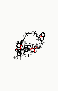 C[C@H](CSC1CC(=O)N(c2ccc(-c3c4cc(F)c(=O)cc-4oc4cc(O)c(F)cc34)c(C(=O)O)c2)C1=O)NC(=O)[C@H](Cc1ccccc1)NC(=O)CCC(C)(C)OCCC(C)(C)OCCNC(=O)CC[C@H](NC(=O)N[C@@H](CCC(=O)O)C(=O)O)C(=O)O